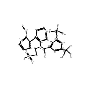 COc1ncccc1-c1ccncc1N(CCS(C)(=O)=O)C(=O)c1cc(C(F)(F)F)nc(C(F)(F)F)c1